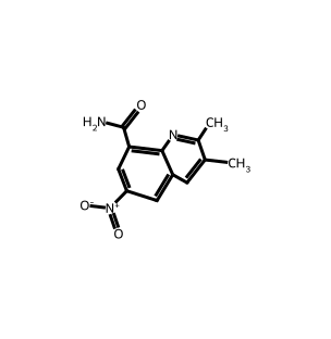 Cc1cc2cc([N+](=O)[O-])cc(C(N)=O)c2nc1C